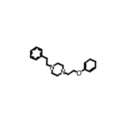 C1=CC(OCCN2CCN(CCc3ccccc3)CC2)=CCC1